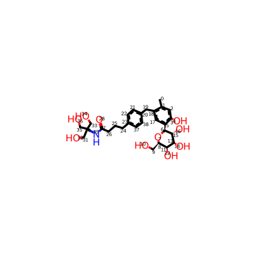 Cc1cc(O)c([C@@H]2O[C@H](CO)[C@H](O)[C@H](O)[C@H]2O)cc1Cc1ccc(CCCC(=O)NC(CO)(CO)CO)cc1